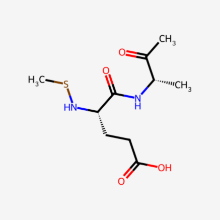 CSN[C@@H](CCC(=O)O)C(=O)N[C@@H](C)C(C)=O